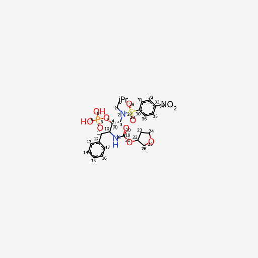 CC(C)CN(C[C@@H](OP(=O)(O)O)C(Cc1ccccc1)NC(=O)OC1CCOC1)S(=O)(=O)c1ccc([N+](=O)[O-])cc1